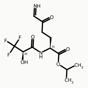 CC(C)OC(=O)[C@H](CCC(=O)C=N)NC(=O)[C@@H](O)C(F)(F)F